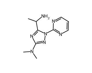 CC(N)c1nc(N(C)C)nn1-c1ncccn1